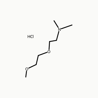 COCCOCCN(C)C.Cl